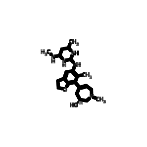 CNC1CC(C)NC(Nc2cc3c(c(C4=CCN(C)C[C@H](O)C4)c2C)OCC3)N1